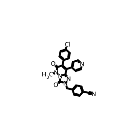 Cn1c(=O)c(-c2ccc(Cl)cc2)c(-c2ccncc2)c2nn(Cc3ccc(C#N)cc3)c(=O)n21